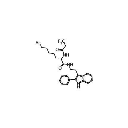 CC(=O)CCCCC[C@H](NC(=O)CC(F)(F)F)C(=O)NCCc1c(-c2ccccc2)[nH]c2ccccc12